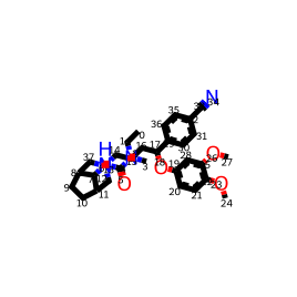 CCN(C)C(=O)NC1C2CCC1CN(CCCC(Oc1ccc(OC)c(OC)c1)c1ccc(C#N)cc1)C2